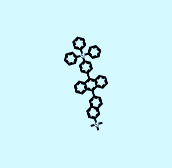 C[Si](C)(C)c1ccc2cc(-c3c4ccccc4c(-c4ccc([Si](c5ccccc5)(c5ccccc5)c5ccccc5)cc4)c4ccccc34)ccc2c1